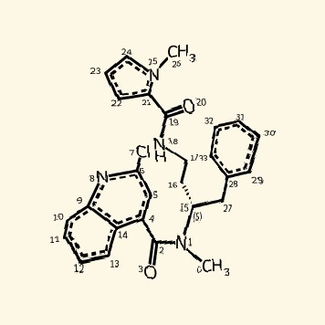 CN(C(=O)c1cc(Cl)nc2ccccc12)[C@H](CCNC(=O)c1cccn1C)Cc1ccccc1